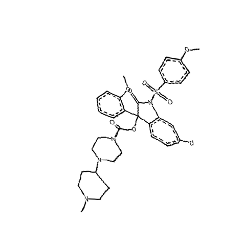 COc1ccc(S(=O)(=O)N2C(=O)C(OC(=O)N3CCN(C4CCN(C)CC4)CC3)(c3ccccc3OC)c3ccc(Cl)cc32)cc1